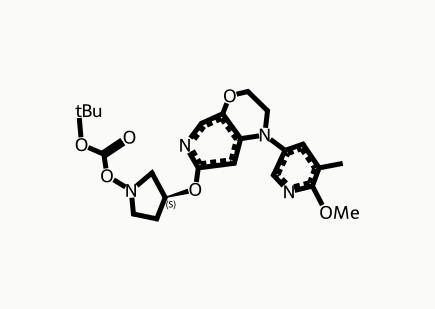 COc1ncc(N2CCOc3cnc(O[C@H]4CCN(OC(=O)OC(C)(C)C)C4)cc32)cc1C